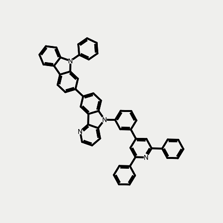 c1ccc(-c2cc(-c3cccc(-n4c5ccc(-c6ccc7c8ccccc8n(-c8ccccc8)c7c6)cc5c5ncccc54)c3)cc(-c3ccccc3)n2)cc1